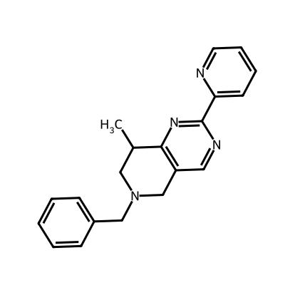 CC1CN(Cc2ccccc2)Cc2cnc(-c3ccccn3)nc21